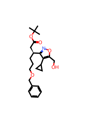 CC(C)(C)OC(=O)C[C@H](CCCOCc1ccccc1)c1noc(CO)c1C1CC1